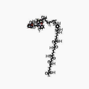 COc1cccc(OC)c1-c1cc(C(=O)NC2(C(=O)O)C3CC4CC(C3)CC2C4)nn1-c1ccc(C(O)N(C)CCCN(C)CCCN(C)C(=S)Nc2ccc(NC(=S)NCCCCCN(O)C(=O)CCC(=O)NCCCCCN(O)C(=O)CCC(=O)NCCCCCN(O)C(C)=O)cc2)cc1C(C)C